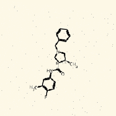 Cc1cc(NC(=O)[C@@H]2CN(Cc3ccccc3)C[C@H]2C)ccc1F